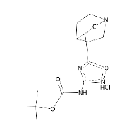 CC(C)(C)OC(=O)Nc1noc(C2CN3CCC2CC3)n1.Cl